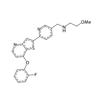 COCCNCc1ccc(-c2cc3nccc(Oc4ccccc4F)c3s2)nc1